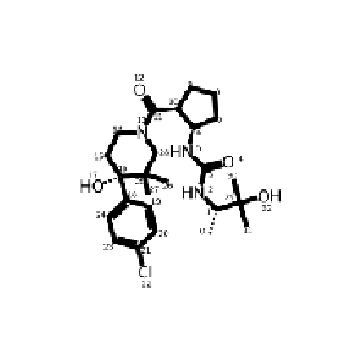 C[C@H](NC(=O)N[C@@H]1CCC[C@@H]1C(=O)N1CC[C@](O)(c2ccc(Cl)cc2)C(C)(C)C1)C(C)(C)O